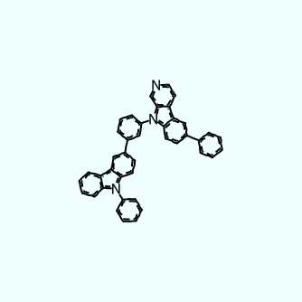 c1ccc(-c2ccc3c(c2)c2ccncc2n3-c2cccc(-c3ccc4c(c3)c3ccccc3n4-c3ccccc3)c2)cc1